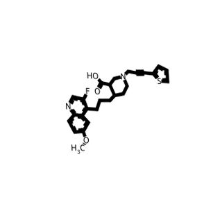 COc1ccc2ncc(F)c(CCCC3CCN(CC#Cc4cccs4)CC3C(=O)O)c2c1